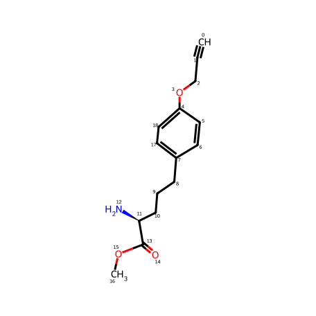 C#CCOc1ccc(CCC[C@H](N)C(=O)OC)cc1